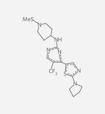 CSN1CCC(Nc2ncc(C(F)(F)F)c(-c3cnc(N4CCCC4)s3)n2)CC1